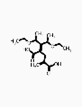 C=C(CC(C(=O)O)=C(C(C)OCC)C(C)OCC)C(=O)O